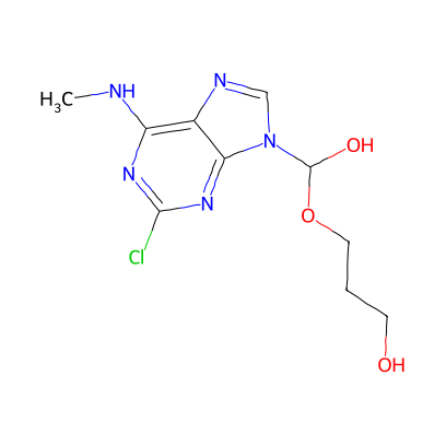 CNc1nc(Cl)nc2c1ncn2C(O)OCCCO